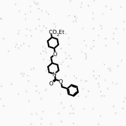 CCOC(=O)C1CCC(OCC2CCN(C(=O)OCc3ccccc3)CC2)CC1